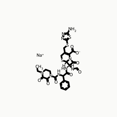 CCN1CCN(C(=O)NC(C(=O)N[C@]2(NC=O)C(=O)N3C(C(=O)[O-])=C(CSc4nnc(N)s4)CS[C@H]32)c2ccccc2)C(=O)C1=O.[Na+]